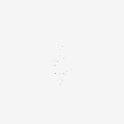 N#Cc1ccc(C2C=C(c3cccc(-c4ccc(-c5ccccc5)c(NC5=CC=CCC5)c4)c3)C=CC2)cc1